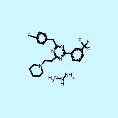 Fc1ccc(Cc2nc(CCN3CCCCC3)nc(-c3cccc(C(F)(F)F)c3)n2)cc1.NNN